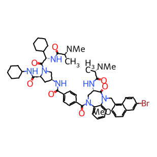 CN[C@@H](C)C(=O)N[C@H]1CN(C(=O)c2ccc(C(=O)N[C@H]3C[C@@H](C(=O)NC4CCCCC4)N(C(=O)[C@@H](NC(=O)[C@H](C)NC)C4CCCCC4)C3)cc2)c2ccccc2N(Cc2c(OC)ccc3cc(Br)ccc23)C1=O